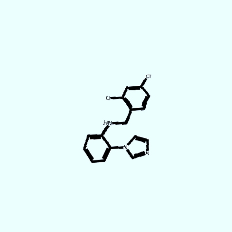 Clc1ccc(CNc2ccccc2-n2ccnc2)c(Cl)c1